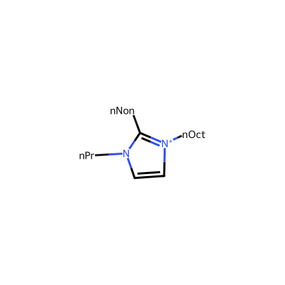 CCCCCCCCCc1n(CCC)cc[n+]1CCCCCCCC